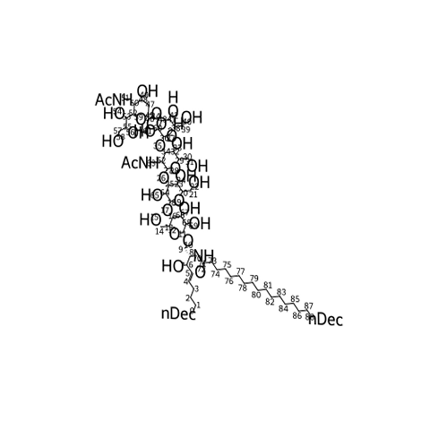 CCCCCCCCCCCCC/C=C/[C@@H](O)[C@H](CO[C@@H]1OC(CO)[C@@H](O[C@@H]2OC(CO)[C@H](O)[C@H](O[C@@H]3OC(CO)[C@@H](O)[C@H](O[C@@H]4OC(CO)[C@H](O)[C@H](O[C@]5(C(=O)O)CC(O)[C@@H](NC(C)=O)C([C@H](O)[C@H](O)CO)O5)C4O)C3NC(C)=O)C2O)[C@H](O)C1O)NC(=O)CCCCCCCCCCCCCCCCCCCCCCCCC